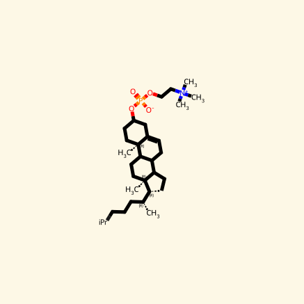 CC(C)CCC[C@@H](C)[C@H]1CCC2C3CC=C4CC(OP(=O)([O-])OCC[N+](C)(C)C)CC[C@]4(C)C3CC[C@@]21C